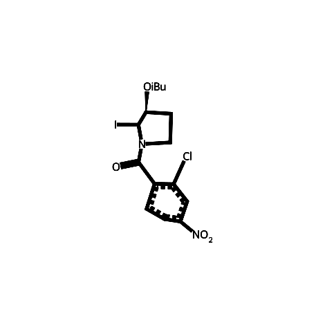 CC(C)CO[C@H]1CCN(C(=O)c2ccc([N+](=O)[O-])cc2Cl)C1I